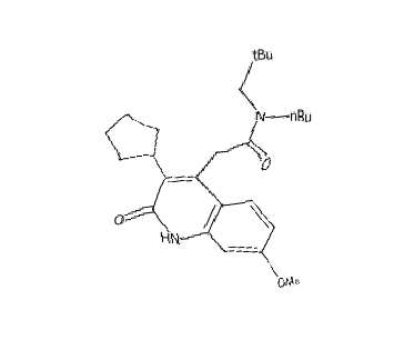 CCCCN(CC(C)(C)C)C(=O)Cc1c(C2CCCC2)c(=O)[nH]c2cc(OC)ccc12